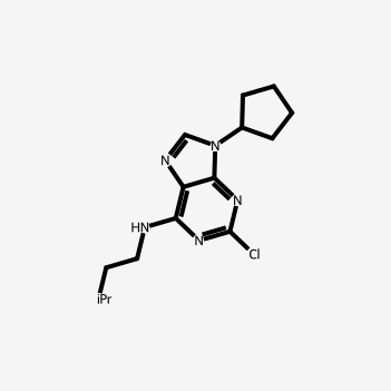 CC(C)CCNc1nc(Cl)nc2c1ncn2C1CCCC1